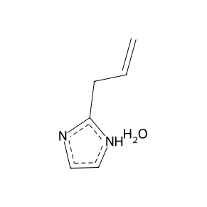 C=CCc1ncc[nH]1.O